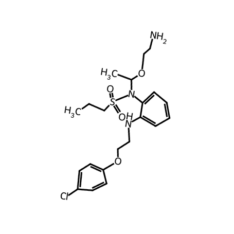 CCCS(=O)(=O)N(c1ccccc1NCCOc1ccc(Cl)cc1)C(C)OCCN